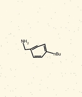 C[CH]CCc1ccc(CN)cc1